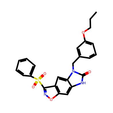 CCCOc1cccc(Cn2c(=O)[nH]c3cc4onc(S(=O)(=O)c5ccccc5)c4cc32)c1